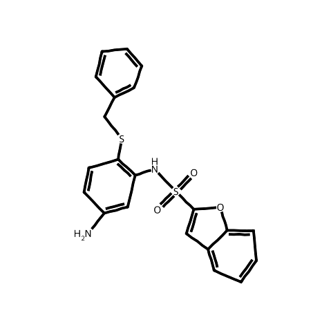 Nc1ccc(SCc2ccccc2)c(NS(=O)(=O)c2cc3ccccc3o2)c1